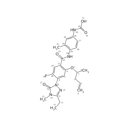 C=CCC(C)Oc1cc(-n2nc(CC)n(C)c2=O)c(F)cc1C(=O)Nc1ccc(NC(=O)O)cc1C